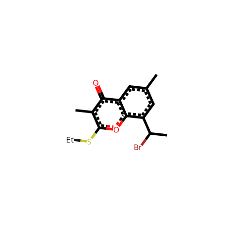 CCSc1oc2c(C(C)Br)cc(C)cc2c(=O)c1C